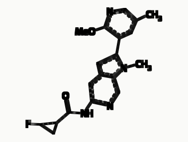 COc1ncc(C)cc1-c1cc2cc(NC(=O)C3CC3F)ncc2n1C